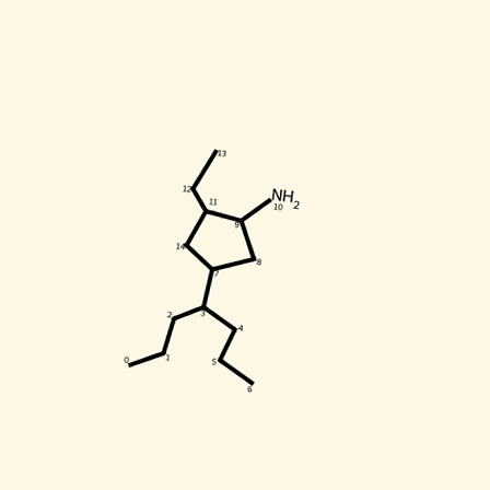 CCCC(CCC)C1CC(N)C(CC)C1